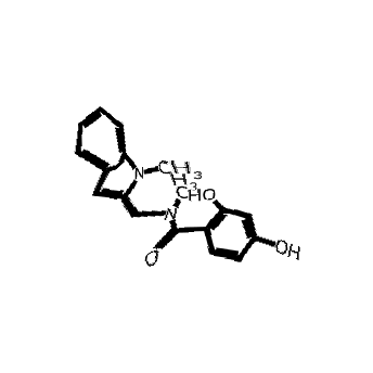 CN(Cc1cc2ccccc2n1C)C(=O)c1ccc(O)cc1O